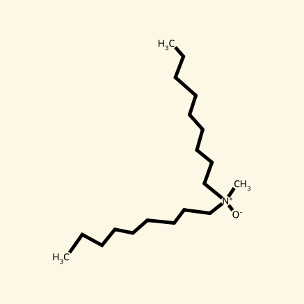 CCCCCCCCC[N+](C)([O-])CCCCCCCCC